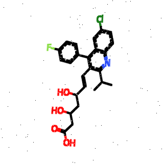 CC(C)c1nc2ccc(Cl)cc2c(-c2ccc(F)cc2)c1/C=C/C(O)CC(O)CC(=O)O